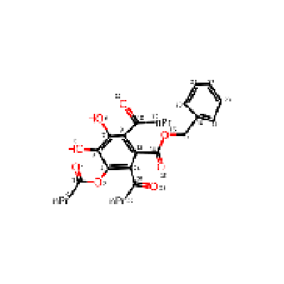 CCCC(=O)Oc1c(O)c(O)c(C(=O)CCC)c(C(=O)OCc2ccccc2)c1C(=O)CCC